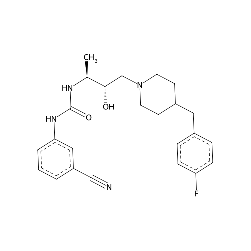 C[C@H](NC(=O)Nc1cccc(C#N)c1)[C@@H](O)CN1CCC(Cc2ccc(F)cc2)CC1